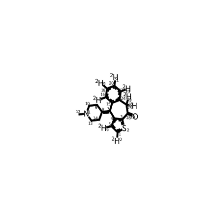 [2H]c1sc2c(c1[2H])C(=C1CCN(C)CC1)c1c([2H])c([2H])c([2H])c([2H])c1C([2H])([2H])C2=O